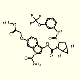 COC(=O)COc1ccc2c(NC(=O)N3[C@@H]4C[C@@H]4C[C@H]3C(=O)Nc3cccc(OC(F)(F)F)c3)cn(C(N)=O)c2c1